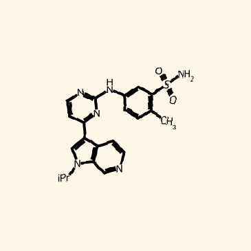 Cc1ccc(Nc2nccc(-c3cn(C(C)C)c4cnccc34)n2)cc1S(N)(=O)=O